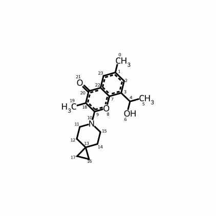 Cc1cc(C(C)O)c2oc(N3CCC4(CC3)CC4)c(C)c(=O)c2c1